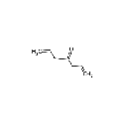 C=CCC(=O)CC=C